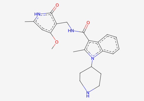 COc1cc(C)[nH]c(=O)c1CNC(=O)c1c(C)n(C2CCNCC2)c2ccccc12